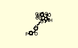 COC(=O)C1=C(C)NC(C)=C(C(=O)OCCCN2CCC(C(=O)c3ccc(F)cc3)CC2)C1c1cccc([N+](=O)[O-])c1